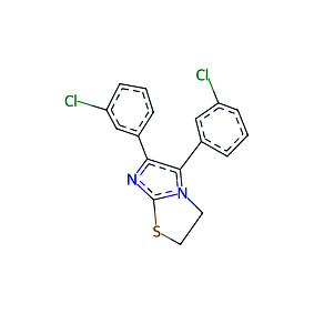 Clc1cccc(-c2nc3n(c2-c2cccc(Cl)c2)CCS3)c1